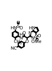 CON1C(C(Oc2ccc(C#N)cc2)C(=O)Nc2cc(N[SH](=O)=O)ccc2C)=Nc2[nH]ccc2S1(=O)=O